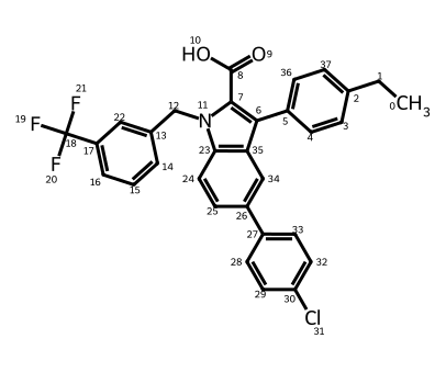 CCc1ccc(-c2c(C(=O)O)n(Cc3cccc(C(F)(F)F)c3)c3ccc(-c4ccc(Cl)cc4)cc23)cc1